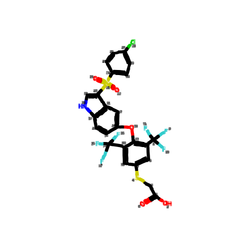 O=C(O)CSc1cc(C(F)(F)F)c(Oc2ccc3[nH]cc(S(=O)(=O)c4ccc(Cl)cc4)c3c2)c(C(F)(F)F)c1